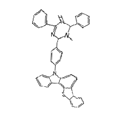 CN1C(c2ccc(-n3c4ccccc4c4c5sc6ccccc6c5ccc43)cc2)N=C(c2ccccc2)NC1c1ccccc1